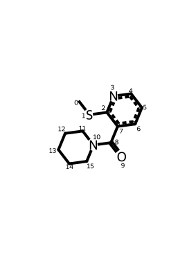 CSc1ncccc1C(=O)N1CCCCC1